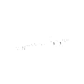 CNCCOCCOCCNC(=O)CC(=O)C(C)(C)C